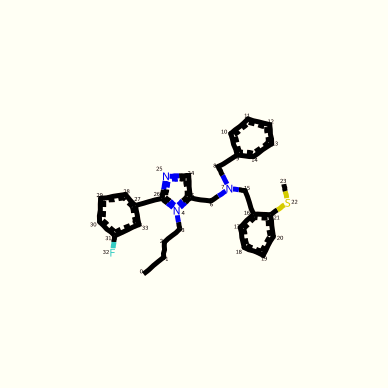 CCCCn1c(CN(Cc2ccccc2)Cc2ccccc2SC)cnc1-c1cccc(F)c1